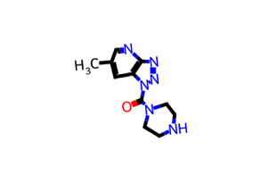 Cc1cnc2nnn(C(=O)N3CCNCC3)c2c1